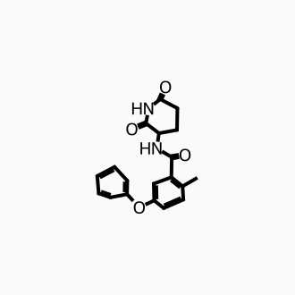 Cc1ccc(Oc2ccccc2)cc1C(=O)NC1CCC(=O)NC1=O